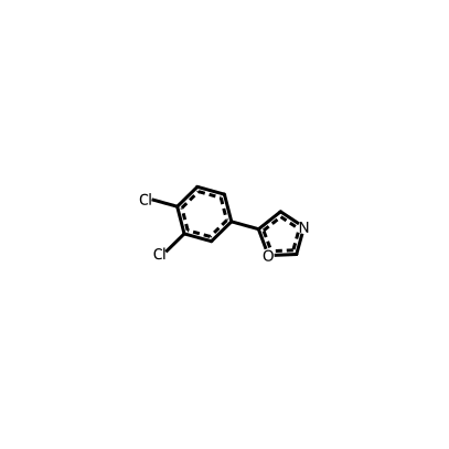 Clc1ccc(-c2cnco2)cc1Cl